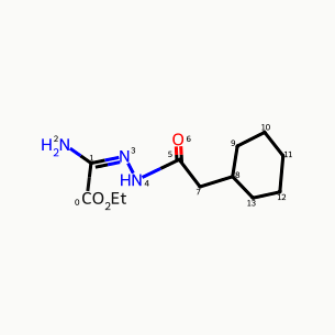 CCOC(=O)/C(N)=N\NC(=O)CC1CCCCC1